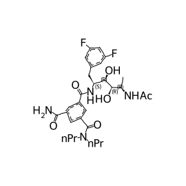 CCCN(CCC)C(=O)c1cc(C(N)=O)cc(C(=O)N[C@@H](Cc2cc(F)cc(F)c2)[C@@H](O)[C@H](O)[C@@H](C)NC(C)=O)c1